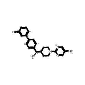 Oc1cnc(N2CCC([C@@H](O)c3ccc(-c4cccc(Cl)c4)cc3)CC2)nc1